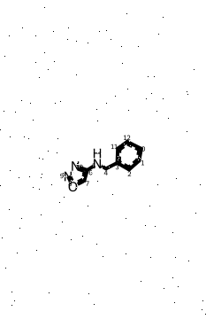 c1ccc(CNc2conn2)cc1